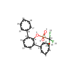 O=S(=O)(Oc1c(-c2ccccc2)cccc1-c1ccccc1)C(F)(F)F